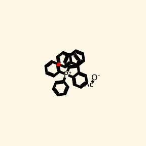 CC(=O)[O-].c1ccc([P+](c2ccccc2)(c2ccccc2)c2ccccc2-c2cccc3ccccc23)cc1